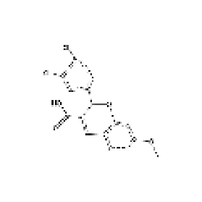 COc1ccc2c(c1)OC(c1ccc(Cl)c(Cl)c1)C(C(=O)O)=C2